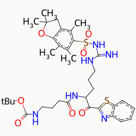 Cc1c(C)c(S(=O)(=O)NC(=N)NCCCC(NC(=O)CCCNC(=O)OC(C)(C)C)C(=O)c2nc3ccccc3s2)c(C)c2c1OC(C)(C)C2